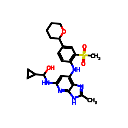 Cc1nc2c(Nc3ccc(C4CCCCO4)cc3S(C)(=O)=O)cc(NC(O)C3CC3)nc2[nH]1